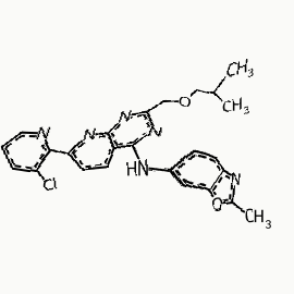 Cc1nc2ccc(Nc3nc(COCC(C)C)nc4nc(-c5ncccc5Cl)ccc34)cc2o1